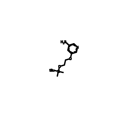 Bc1cncc(OCCO[Si](C)(C)C(C)(C)C)c1